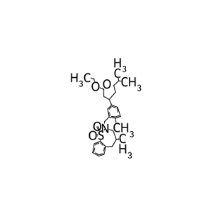 CCOC(=O)CC(CCC(C)C)c1ccc(C)c(CN2C[C@@H](C)Cc3ccccc3S2(=O)=O)c1